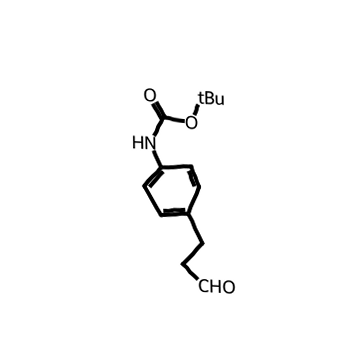 CC(C)(C)OC(=O)Nc1ccc(CCC=O)cc1